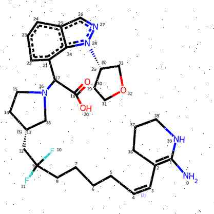 NC1=C(/C=C\CCCCC(F)(F)C[C@@H]2CCN(C(C(=O)O)c3cccc4cnn([C@H]5CCOC5)c34)C2)CCCN1